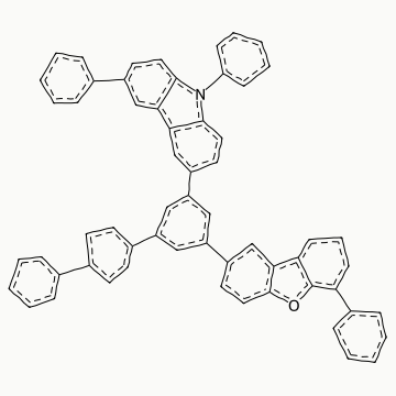 c1ccc(-c2ccc(-c3cc(-c4ccc5oc6c(-c7ccccc7)cccc6c5c4)cc(-c4ccc5c(c4)c4cc(-c6ccccc6)ccc4n5-c4ccccc4)c3)cc2)cc1